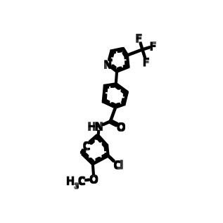 COc1ccc(NC(=O)c2ccc(-c3cc(C(F)(F)F)ccn3)cc2)cc1Cl